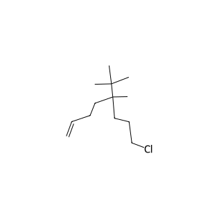 C=CCCC(C)(CCCCl)C(C)(C)C